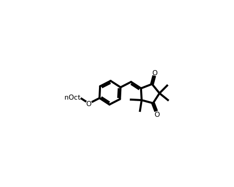 CCCCCCCCOc1ccc(C=C2C(=O)C(C)(C)C(=O)C2(C)C)cc1